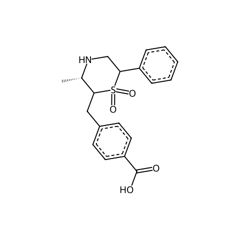 C[C@@H]1NCC(c2ccccc2)S(=O)(=O)C1Cc1ccc(C(=O)O)cc1